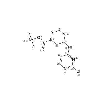 CC(C)(C)OC(=O)N1CCCC(Nc2ccnc(Cl)n2)C1